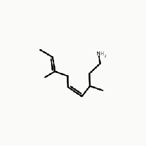 C/C=C(\C)C/C=C\C(C)CCN